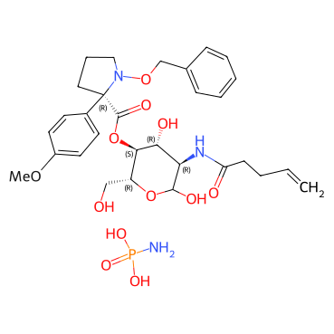 C=CCCC(=O)N[C@H]1C(O)O[C@H](CO)[C@@H](OC(=O)[C@]2(c3ccc(OC)cc3)CCCN2OCc2ccccc2)[C@@H]1O.NP(=O)(O)O